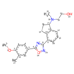 CC(C)Oc1ccc(-c2nc(-c3cccc4c3CCC4N(C)CCO)no2)cc1C#N